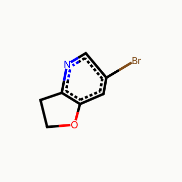 Brc1cnc2c(c1)OCC2